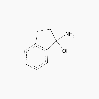 NC1(O)CCc2ccccc21